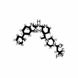 CC(c1ccnc(Nc2nc3ccc(-c4ccncn4)cc3[nH]2)c1)N1CCN(C(=O)CC(F)(F)F)CC1